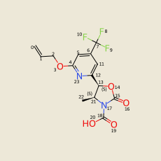 C=CCOc1cc(C(F)(F)F)cc([C@H]2OC(=O)N(C(=O)O)[C@H]2C)n1